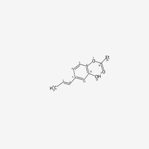 CC=Cc1ccc(OC(=O)CC)c(O)c1